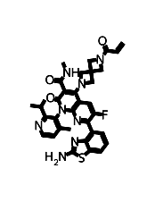 C=CC(=O)N1CC2(C1)CN(c1c(C(=O)NC)c(=O)n(-c3c(C)ccnc3C(C)C)c3nc(-c4cccc5sc(N)nc45)c(F)cc13)C2